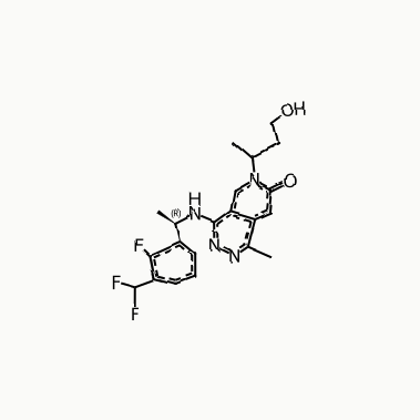 Cc1nnc(N[C@H](C)c2cccc(C(F)F)c2F)c2cn(C(C)CCO)c(=O)cc12